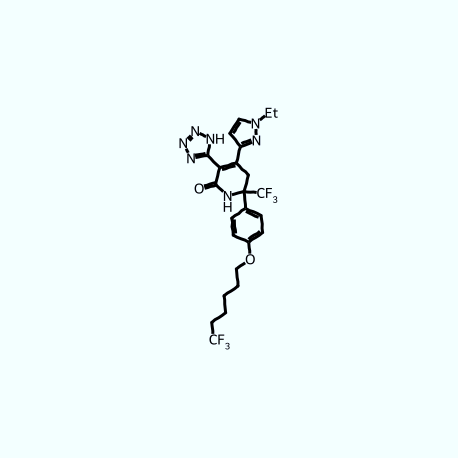 CCn1ccc(C2=C(c3nnn[nH]3)C(=O)NC(c3ccc(OCCCCCC(F)(F)F)cc3)(C(F)(F)F)C2)n1